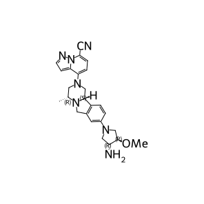 CO[C@@H]1CN(c2ccc3c(c2)CN2[C@H](C)CN(c4ccc(C#N)n5nccc45)C[C@H]32)C[C@H]1N